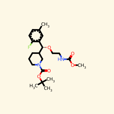 COC(=O)NCCO[C@@H](c1cc(C)ccc1F)C1CCCN(C(=O)OC(C)(C)C)C1